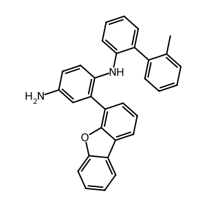 Cc1ccccc1-c1ccccc1Nc1ccc(N)cc1-c1cccc2c1oc1ccccc12